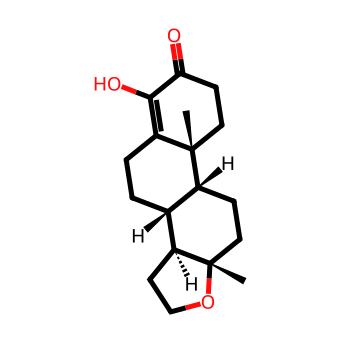 C[C@]12CCC(=O)C(O)=C1CC[C@@H]1[C@H]2CC[C@]2(C)OCC[C@@H]12